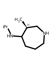 CC(C)NC1CCCNC[C@@H]1C